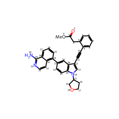 COC(=O)Cc1ccccc1C#Cc1cn(C2CCOC2)c2ccc(-c3cccc4c(N)nccc34)cc12